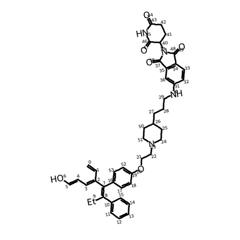 C=CC(=C\C=C\O)/C(=C(\CC)c1ccccc1)c1ccc(OCCN2CCC(CCCNc3ccc4c(c3)C(=O)N(C3CCC(=O)NC3=O)C4=O)CC2)cc1